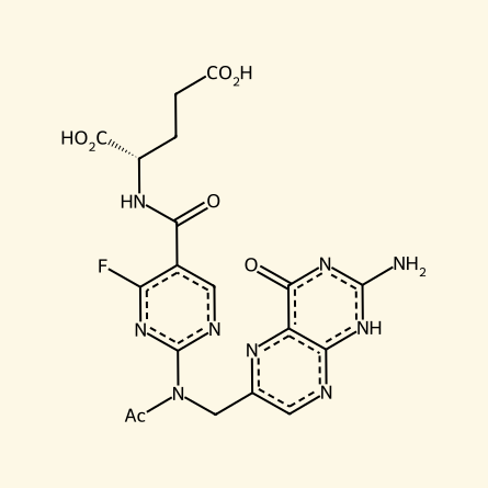 CC(=O)N(Cc1cnc2[nH]c(N)nc(=O)c2n1)c1ncc(C(=O)N[C@@H](CCC(=O)O)C(=O)O)c(F)n1